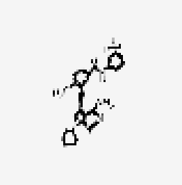 Cc1ccc(C(=O)Nc2cccc(C(F)(F)F)c2)cc1C#Cc1cn(C2CCCCC2)c2ncnc(N)c12